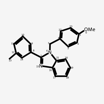 COc1ccc(Cn2c(-c3cccc(C)c3)nc3ccccc32)cc1